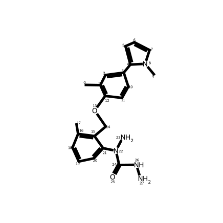 Cc1cc(-c2cccn2C)ccc1OCc1c(C)cccc1N(N)C(=O)NN